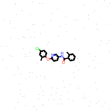 Cc1cc(Cl)ccc1Oc1ccc(NC(=O)c2ccccc2C)cn1